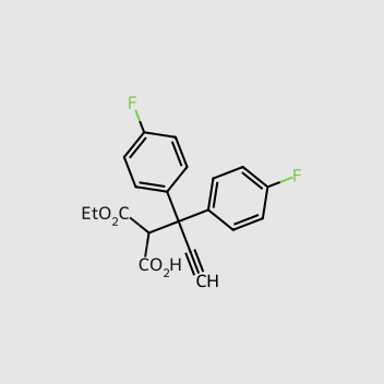 C#CC(c1ccc(F)cc1)(c1ccc(F)cc1)C(C(=O)O)C(=O)OCC